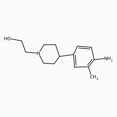 Cc1cc(C2CCN(CCO)CC2)ccc1N